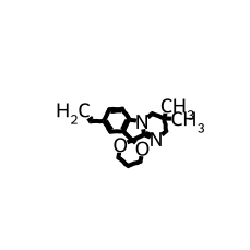 C=Cc1ccc2c(c1)C1(OCCCO1)C1=NCC(C)(C)CN12